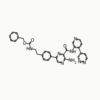 Nc1ncc(-c2ccc(CCNC(=O)OCc3ccccc3)cc2)nc1C(=O)Nc1cnccc1-c1ccnnc1